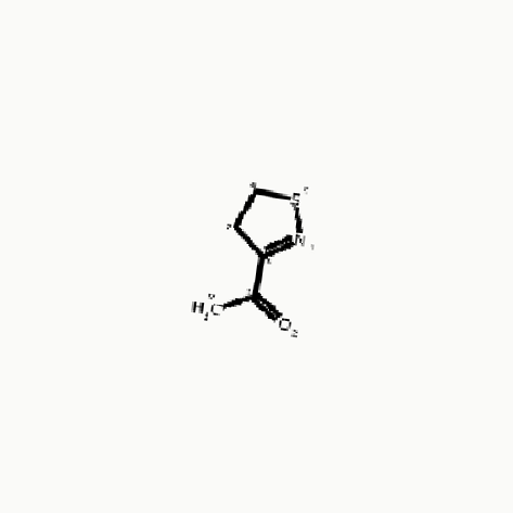 CC(=O)C1=NSCC1